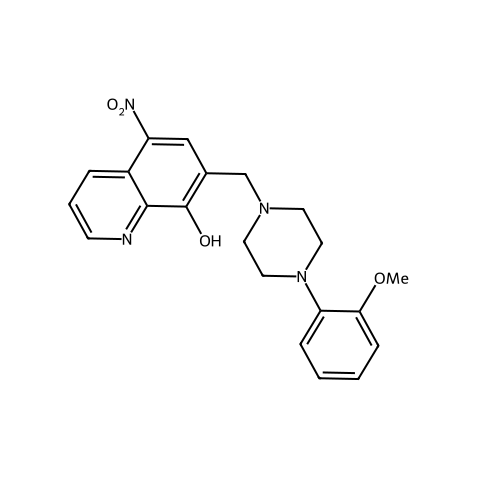 COc1ccccc1N1CCN(Cc2cc([N+](=O)[O-])c3cccnc3c2O)CC1